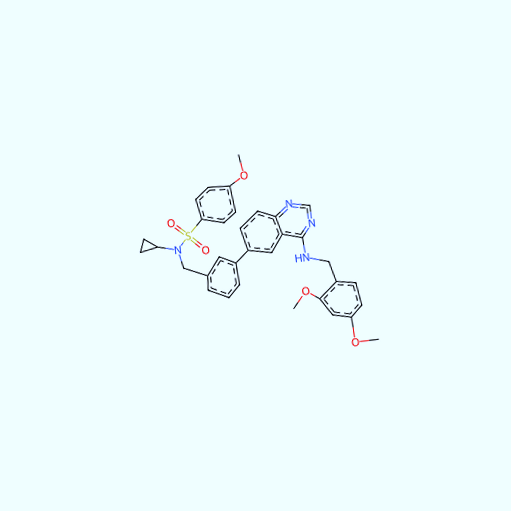 COc1ccc(S(=O)(=O)N(Cc2cccc(-c3ccc4ncnc(NCc5ccc(OC)cc5OC)c4c3)c2)C2CC2)cc1